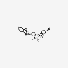 CCN(C(=O)c1nc2cc(C#N)ccc2[nH]1)C1=CCC[C@@H](NCc2oc3ccccc3c2C)C1